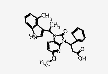 COc1ccc2c(n1)n(C(CC(=O)O)c1ccccc1)c(=O)n2C(C)c1c[nH]c2cccc(C)c12